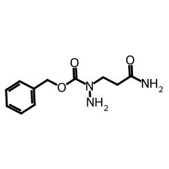 NC(=O)CCN(N)C(=O)OCc1ccccc1